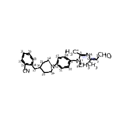 CC(=C/C=O)/N=C(/C)N(C)c1ccc(N2CCC(Cc3ccccc3C#N)CC2)cc1